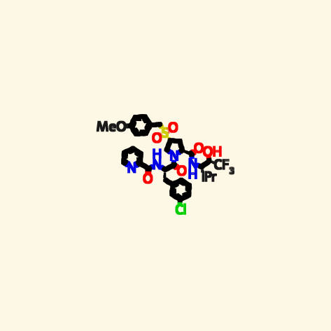 COc1ccc(CS(=O)(=O)[C@@H]2C[C@@H](C(=O)N[C@@H](C(C)C)[C@H](O)C(F)(F)F)N(C(=O)[C@H](Cc3cccc(Cl)c3)NC(=O)c3ccccn3)C2)cc1